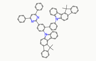 CC1(C)c2ccccc2-c2ccc3c(c21)c1ccccc1n3-c1cccc(-c2cc(-c3nc(-c4ccccc4)cc(-c4ccccc4)n3)ccc2-n2c3ccccc3c3c4c(ccc32)-c2ccccc2C4(C)C)c1